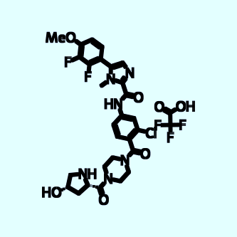 COc1ccc(-c2cnc(C(=O)Nc3ccc(C(=O)N4CCN(C(=O)[C@@H]5C[C@H](O)CN5)CC4)c(Cl)c3)n2C)c(F)c1F.O=C(O)C(F)(F)F